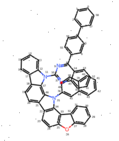 c1ccc(-c2ccc(-c3nc(-n4c5ccccc5c5ccc6c7ccc8oc9ccccc9c8c7n(-c7ccc8ccccc8c7)c6c54)nc4ccccc34)cc2)cc1